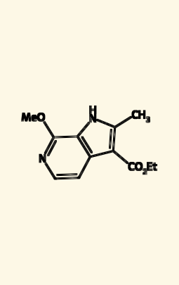 CCOC(=O)c1c(C)[nH]c2c(OC)nccc12